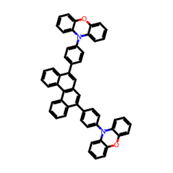 c1ccc2c(c1)Oc1ccccc1N2c1ccc(-c2cc3cc(-c4ccc(N5c6ccccc6Oc6ccccc65)cc4)c4ccccc4c3c3ccccc23)cc1